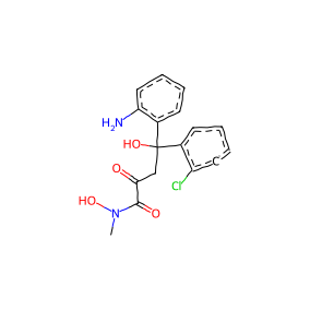 CN(O)C(=O)C(=O)CC(O)(c1ccccc1N)c1ccccc1Cl